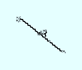 CCCCCCCCCCOCCCN(CCNC(=O)CCCCCCCCCCCCCCC(C)C)CC(O)CO